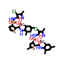 CC(=O)c1cc(C)cc(C)c1NC(=O)c1sc(C)cc1S(=O)(=O)Nc1onc(C)c1Cl.CC(=O)c1cc(C)cc(C)c1NC(=O)c1sccc1S(=O)(=O)Nc1onc(C)c1Cl